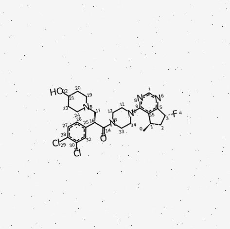 C[C@@H]1C[C@@H](F)c2ncnc(N3CCN(C(=O)[C@H](CN4CCC(O)CC4)c4ccc(Cl)c(Cl)c4)CC3)c21